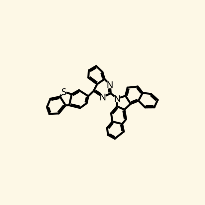 c1ccc2cc3c(cc2c1)c1c2ccccc2ccc1n3-c1nc(-c2ccc3c(c2)sc2ccccc23)c2ccccc2n1